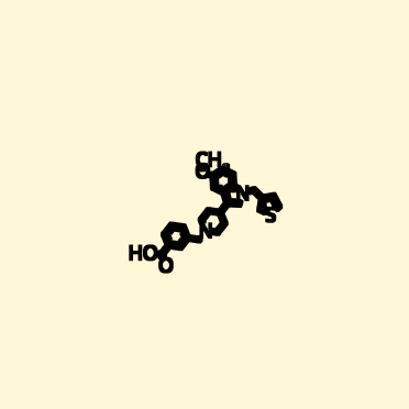 COc1ccc2c(c1)c(C1CCN(Cc3cccc(C(=O)O)c3)CC1)cn2Cc1ccsc1